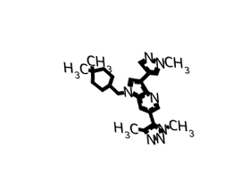 Cc1nnn(C)c1-c1cnc2c(-c3cnn(C)c3)cn(CC3CCC(C)(C)CC3)c2c1